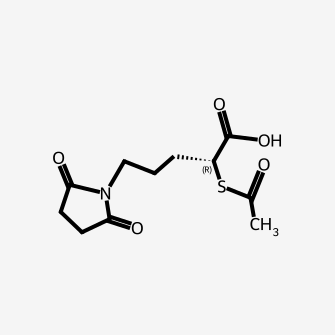 CC(=O)S[C@H](CCCN1C(=O)CCC1=O)C(=O)O